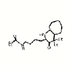 CCC(=O)NCCCCC1NC2CCCCCC2C(CC)(CC)C1=O